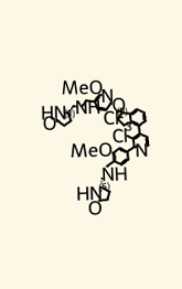 COc1cc(-c2nccc(-c3cccc4c3CC[C@H]4Oc3nc(OC)c(CNC[C@H]4CCC(=O)N4)cc3C(F)(F)F)c2Cl)ccc1CNC[C@@H]1CCC(=O)N1